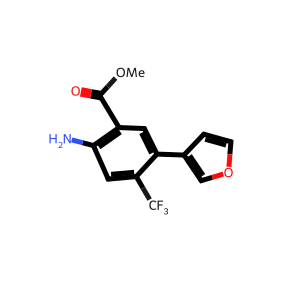 COC(=O)c1cc(-c2ccoc2)c(C(F)(F)F)cc1N